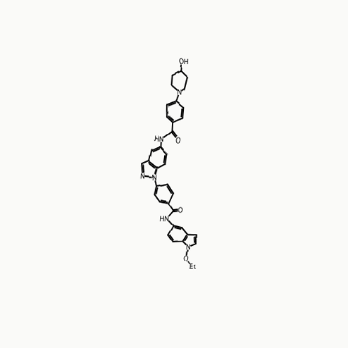 CCOn1ccc2cc(NC(=O)c3ccc(-n4ncc5cc(NC(=O)c6ccc(N7CCC(O)CC7)cc6)ccc54)cc3)ccc21